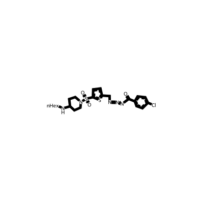 CCCCCCNC1CCN(S(=O)(=O)c2ccc(CN=[N+]=NC(=O)c3ccc(Cl)cc3)s2)CC1